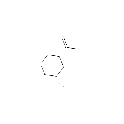 CO[C@@H]1COC[C@H](C(N)=O)C1